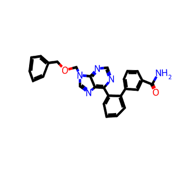 NC(=O)c1cccc(-c2ccccc2-c2ncnc3c2ncn3COCc2ccccc2)c1